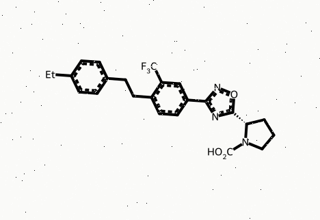 CCc1ccc(CCc2ccc(-c3noc([C@@H]4CCCN4C(=O)O)n3)cc2C(F)(F)F)cc1